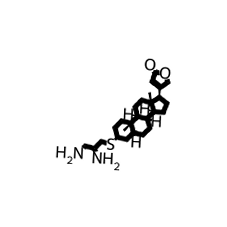 C[C@]12CC[C@H](SCC(N)CN)C[C@H]1CC[C@@H]1[C@@H]2CC[C@]2(C)[C@@H](C3=CC(=O)OC3)CC[C@@H]12